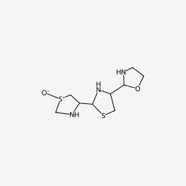 [O-][S+]1CNC(C2NC(C3NCCO3)CS2)C1